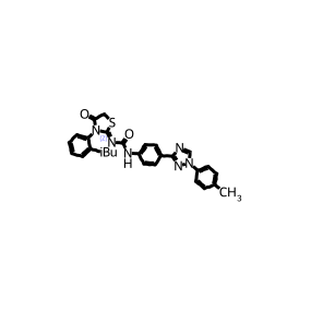 CCC(C)c1ccccc1N1C(=O)CS/C1=N\C(=O)Nc1ccc(-c2ncn(-c3ccc(C)cc3)n2)cc1